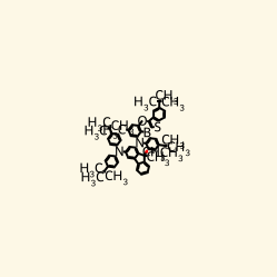 Cc1cc2c3c(c1)N(c1cc(N(c4ccc(C(C)(C)C)cc4)c4ccc(C(C)(C)C)cc4)cc4c1C(C)(C)c1ccccc1-4)c1ccc(C(C)(C)C)cc1B3c1sc3ccc(C(C)(C)C)cc3c1O2